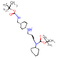 CC(C)(C)OC(=O)NC[C@H]1CC[C@H](NCCCN(C(=O)OC(C)(C)C)C2CCCCC2)CC1